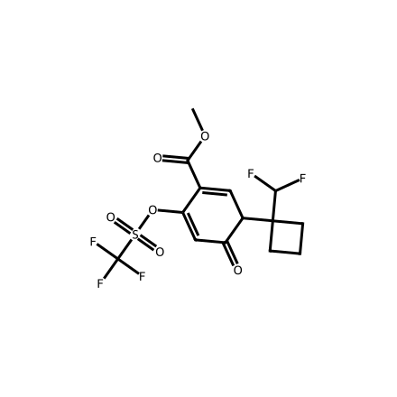 COC(=O)C1=CC(C2(C(F)F)CCC2)C(=O)C=C1OS(=O)(=O)C(F)(F)F